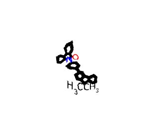 CC1(C)c2ccccc2-c2cc(-c3ccc(-n4c(=O)c5ccccc5c5ccccc54)cc3)ccc21